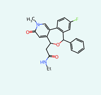 CCNC(=O)CC1OC(c2ccccc2)c2cc(F)ccc2-c2cn(C)c(=O)cc21